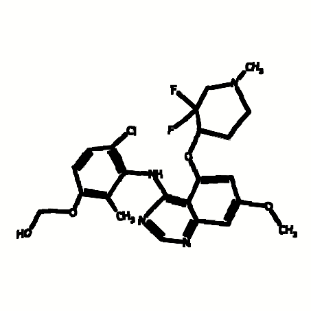 COc1cc(OC2CCN(C)CC2(F)F)c2c(Nc3c(Cl)ccc(OCO)c3C)ncnc2c1